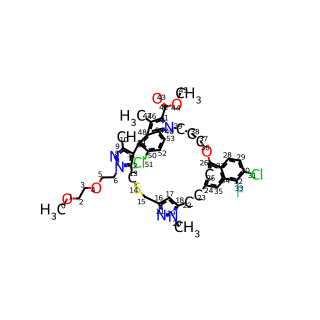 COCCOCCn1nc(C)c2c1CSCc1cc(n(C)n1)CCc1cc(c3ccc(Cl)c(F)c3c1)OCCCn1c(C(=O)OC)c(C)c3c-2c(Cl)ccc31